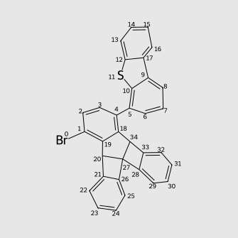 Brc1ccc(-c2cccc3c2sc2ccccc23)c2c1C1c3ccccc3C13c1ccccc1C23